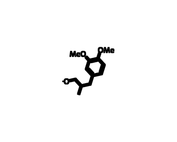 COc1ccc(CC(C)C[O])cc1OC